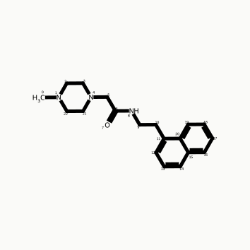 CN1CCN(CC(=O)NCCc2cccc3ccccc23)CC1